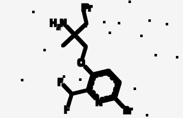 CC(C)CC(C)(N)COc1ccc(Br)nc1C(F)F